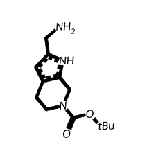 CC(C)(C)OC(=O)N1CCc2cc(CN)[nH]c2C1